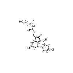 Cc1c(CCC(=O)N[C@@H](C)CC(=O)O)c2cc(O)ccc2n1C(=O)c1cccc(Cl)c1